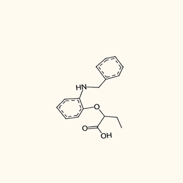 CCC(Oc1ccccc1NCc1ccccc1)C(=O)O